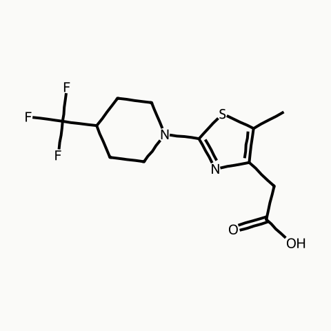 Cc1sc(N2CCC(C(F)(F)F)CC2)nc1CC(=O)O